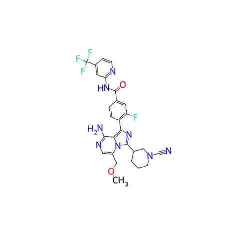 COCc1cnc(N)c2c(-c3ccc(C(=O)Nc4cc(C(F)(F)F)ccn4)cc3F)nc(C3CCCN(C#N)C3)n12